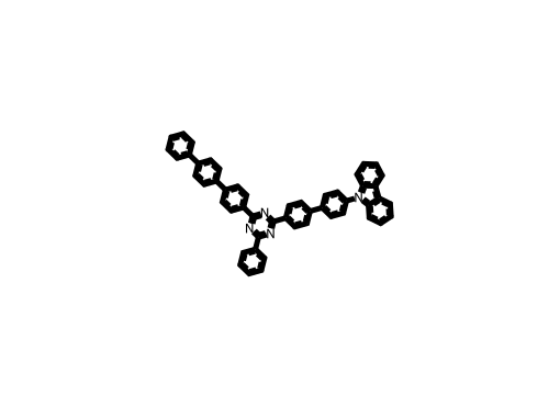 c1ccc(-c2ccc(-c3ccc(-c4nc(-c5ccccc5)nc(-c5ccc(-c6ccc(-n7c8ccccc8c8ccccc87)cc6)cc5)n4)cc3)cc2)cc1